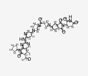 CC(=O)c1c(C)c2cnc(Nc3ccc(N4CCN(C(=O)C5CN(c6ccc7c(c6)C(=O)N(C6CCC(=O)NC6=O)C7=O)C5)CC4)cn3)nc2n(C2CCCC2)c1=O